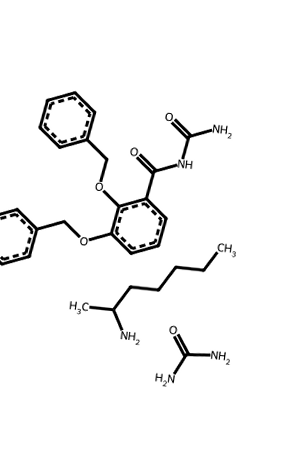 CCCCCC(C)N.NC(=O)NC(=O)c1cccc(OCc2ccccc2)c1OCc1ccccc1.NC(N)=O